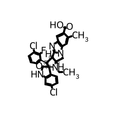 CCN1[C@H]2Cn3c(nc4cc(C(=O)O)c(C)cc43)[C@H]2[C@H](c2cccc(Cl)c2F)[C@]12C(=O)Nc1cc(Cl)ccc12